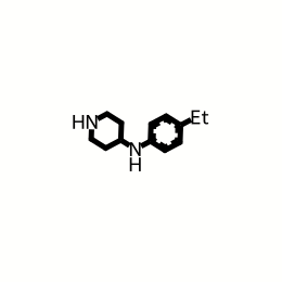 CCc1ccc(NC2CCNCC2)cc1